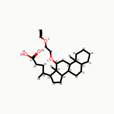 C=COCCOC1CC2C(CCC3CCCCC32C)C2CCC(C(C)CCC(=O)O)C12C